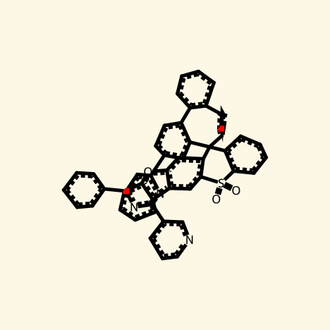 O=S1(=O)c2ccccc2C2(c3ccccc3-c3ccccc3-c3ccc(-c4cc(-c5ccccc5)nc(-c5cccnc5)n4)cc32)c2cc3oc4ccccc4c3cc21